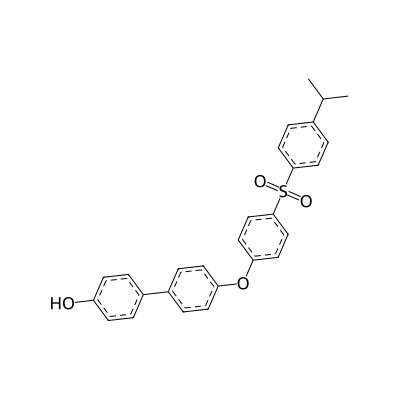 CC(C)c1ccc(S(=O)(=O)c2ccc(Oc3ccc(-c4ccc(O)cc4)cc3)cc2)cc1